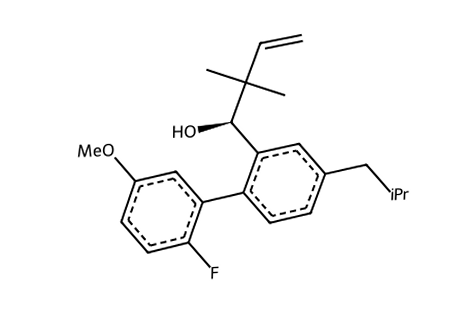 C=CC(C)(C)[C@H](O)c1cc(CC(C)C)ccc1-c1cc(OC)ccc1F